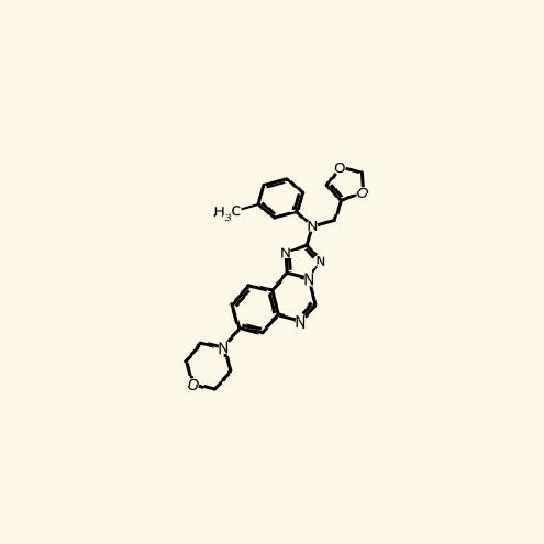 Cc1cccc(N(CC2=COCO2)c2nc3c4ccc(N5CCOCC5)cc4ncn3n2)c1